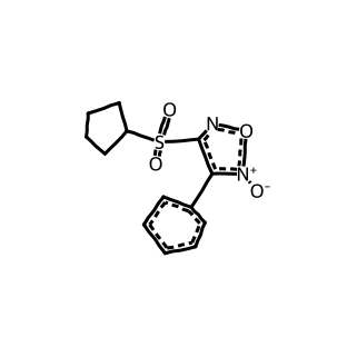 O=S(=O)(c1no[n+]([O-])c1-c1ccccc1)C1CCCC1